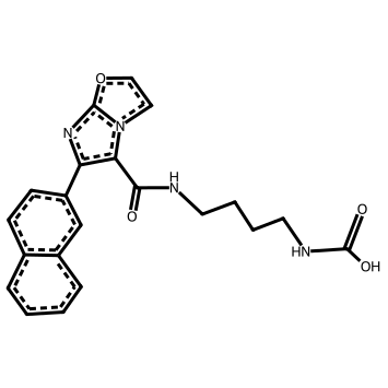 O=C(O)NCCCCNC(=O)c1c(-c2ccc3ccccc3c2)nc2occn12